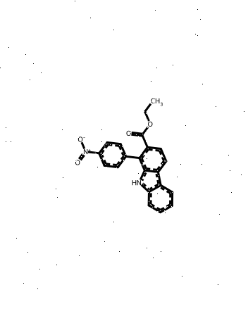 CCOC(=O)c1ccc2c([nH]c3ccccc32)c1-c1ccc([N+](=O)[O-])cc1